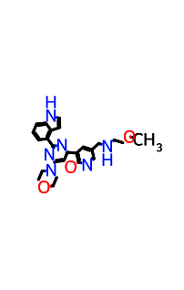 COCCNCc1cnc2oc3c(N4CCOCC4)nc(-c4cccc5[nH]ccc45)nc3c2c1